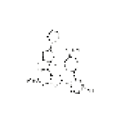 COC[C@@H]1C[C@@H](c2ccc(C(F)(F)F)cc2N2CCC(C(=O)O)CC2)CN1C(=O)[C@]1(C)CN(C2CCCC2)C[C@H]1C